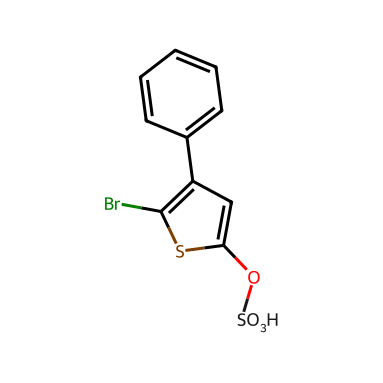 O=S(=O)(O)Oc1cc(-c2ccccc2)c(Br)s1